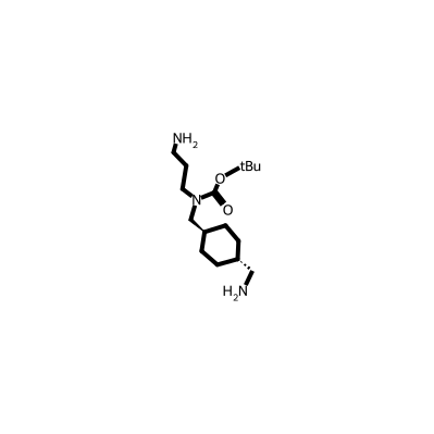 CC(C)(C)OC(=O)N(CCCN)C[C@H]1CC[C@H](CN)CC1